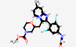 COC(=O)N1CCOC(Cc2c(-c3c(F)cc(N=C=O)cc3F)nc3cc(C)ccn23)C1